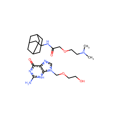 CN(C)CCOCC(=O)NC12CC3CC(CC(C3)C1)C2.Nc1nc(=O)c2ncn(COCCO)c2[nH]1